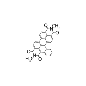 CN1C(=O)c2ccc3c4ccc5c6c(c7ccccc7c(c7ccc(c2c37)C1=O)c64)C(=O)N(C)C5=O